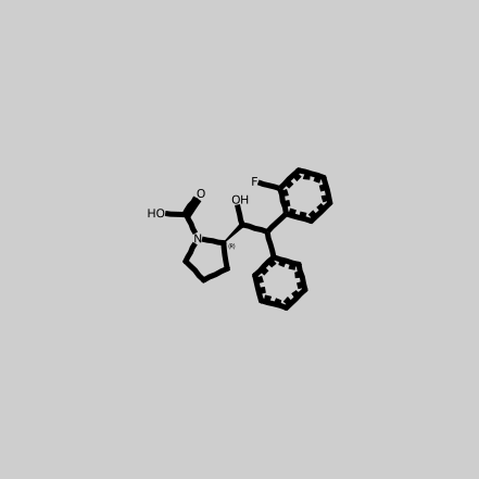 O=C(O)N1CCC[C@@H]1C(O)C(c1ccccc1)c1ccccc1F